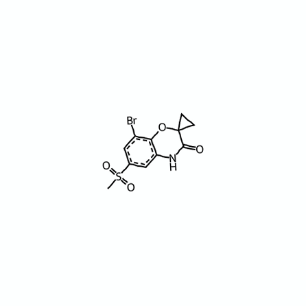 CS(=O)(=O)c1cc(Br)c2c(c1)NC(=O)C1(CC1)O2